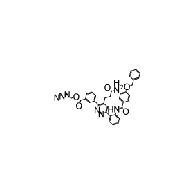 [N-]=[N+]=NCOC(=O)c1cccc(-c2nnc(-c3ccccc3NC(=O)c3ccc(OCc4ccccc4)cc3)cc2CCC(N)=O)c1